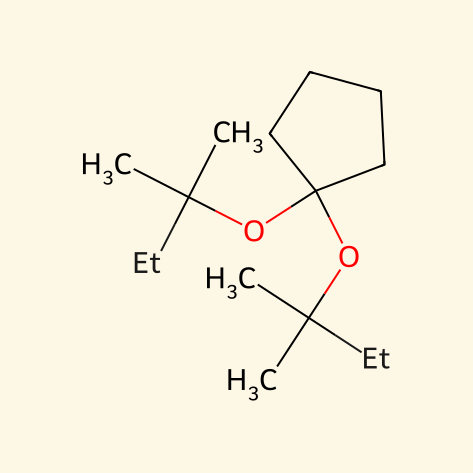 CCC(C)(C)OC1(OC(C)(C)CC)CCCC1